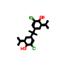 CC(C)=C1C=C(C(C)(C)C2=CC(=C(C)C)C(O)C(Cl)=C2)C=C(Cl)C1O